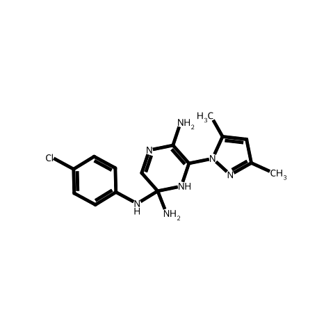 Cc1cc(C)n(C2=C(N)N=CC(N)(Nc3ccc(Cl)cc3)N2)n1